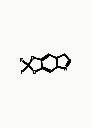 FC1(F)OC2=CC3CC=NC3C=C2O1